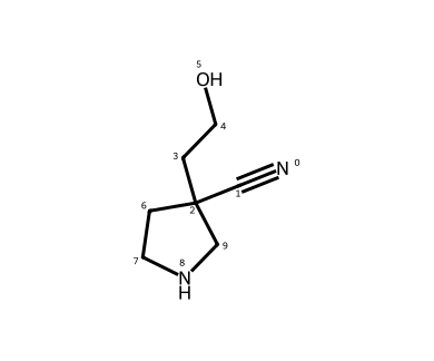 N#CC1(CCO)CCNC1